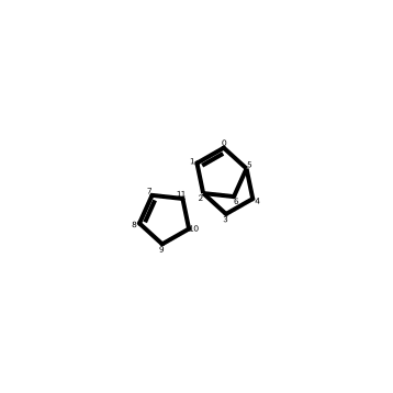 C1=CC2CCC1C2.C1=CCCC1